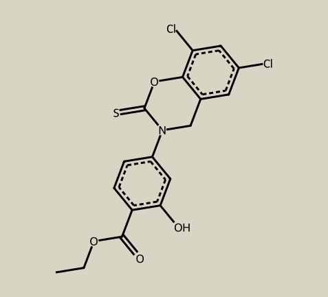 CCOC(=O)c1ccc(N2Cc3cc(Cl)cc(Cl)c3OC2=S)cc1O